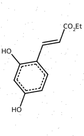 CCOC(=O)C=Cc1ccc(O)cc1O